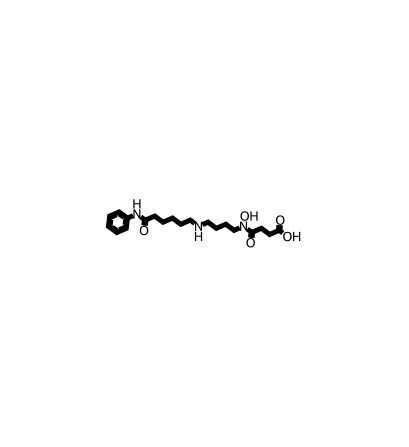 O=C(O)CCC(=O)N(O)CCCCNCCCCCC(=O)Nc1ccccc1